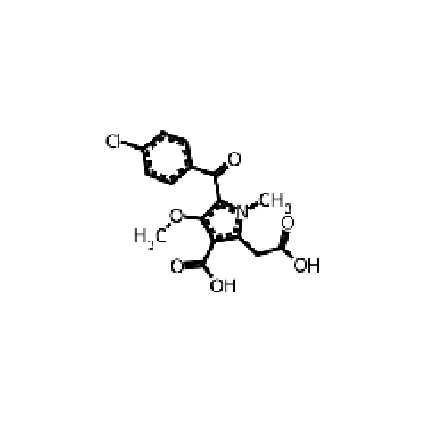 COc1c(C(=O)O)c(CC(=O)O)n(C)c1C(=O)c1ccc(Cl)cc1